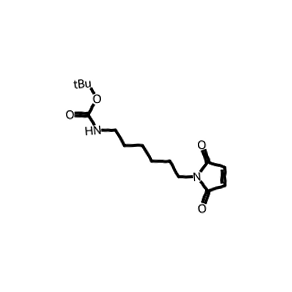 CC(C)(C)OC(=O)NCCCCCCN1C(=O)C=CC1=O